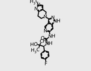 Cn1cc2c(n1)CCN(c1n[nH]c3cc(NC(=O)N[C@@H](c4ccc(F)cc4)C(C)(C)O)ncc13)C2